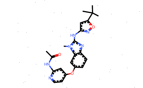 CC(=O)Nc1cc(Oc2ccc3nc(Nc4cc(C(C)(C)C)on4)n(C)c3c2)ccn1